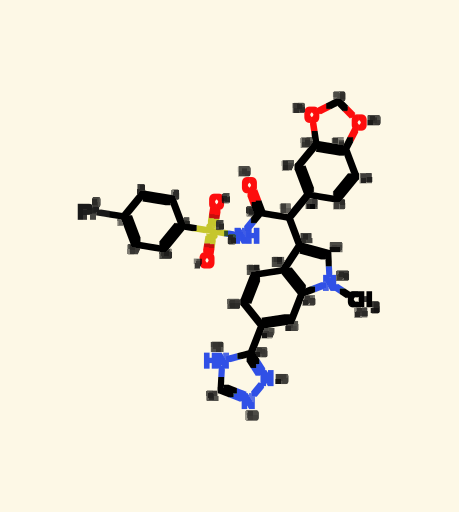 CC(C)c1ccc(S(=O)(=O)NC(=O)C(c2ccc3c(c2)OCO3)c2cn(C)c3cc(-c4nnc[nH]4)ccc23)cc1